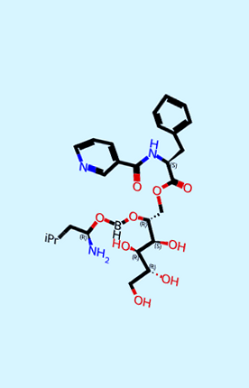 CC(C)C[C@H](N)OBO[C@H](COC(=O)[C@H](Cc1ccccc1)NC(=O)c1cccnc1)[C@@H](O)[C@H](O)[C@H](O)CO